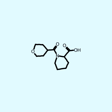 O=C(O)C1CCCCN1C(=O)C1CCOCC1